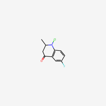 CC1CC(=O)c2cc(F)ccc2N1Cl